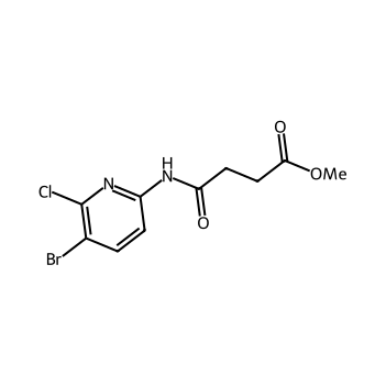 COC(=O)CCC(=O)Nc1ccc(Br)c(Cl)n1